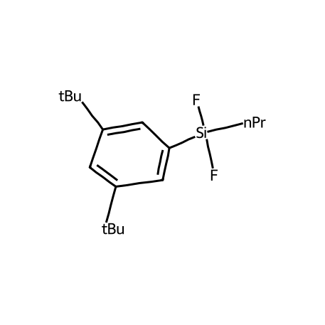 CCC[Si](F)(F)c1cc(C(C)(C)C)cc(C(C)(C)C)c1